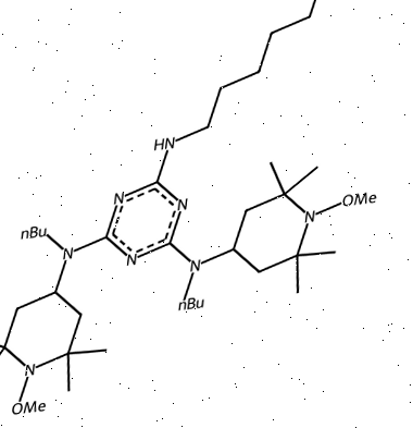 CCCCN(c1nc(NCCCCCC(=O)O)nc(N(CCCC)C2CC(C)(C)N(OC)C(C)(C)C2)n1)C1CC(C)(C)N(OC)C(C)(C)C1